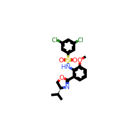 COc1cccc(C2=N[C@H](C(C)C)CO2)c1NS(=O)(=O)c1cc(Cl)cc(Cl)c1